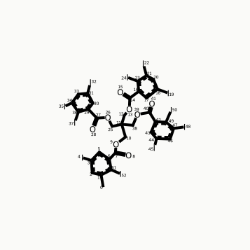 Cc1cc(I)cc(C(=O)OCC(COC(=O)c2cc(I)cc(I)c2I)(COC(=O)c2cc(I)cc(I)c2I)COC(=O)c2cc(I)cc(I)c2I)c1I